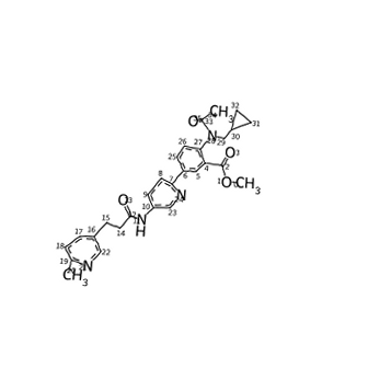 COC(=O)c1cc(-c2ccc(NC(=O)CCc3ccc(C)nc3)cn2)ccc1N(CC1CC1)C(C)=O